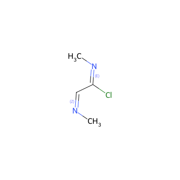 C/N=C\C(Cl)=N/C